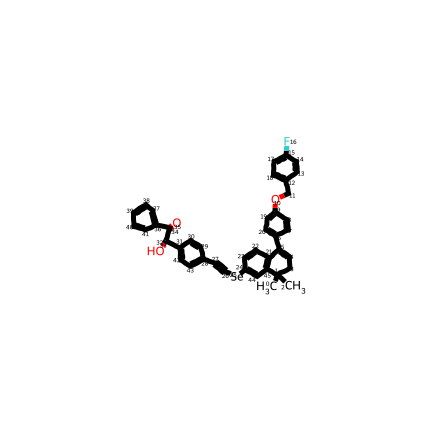 CC1(C)CC=C(c2ccc(OCc3ccc(F)cc3)cc2)c2ccc([Se]C#Cc3ccc(C(O)C(=O)c4ccccc4)cc3)cc21